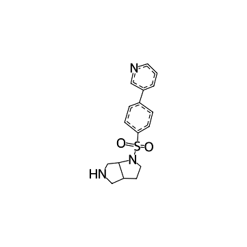 O=S(=O)(c1ccc(-c2cccnc2)cc1)N1CCC2CNCC21